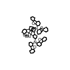 CC(C)(C)C1(C2(C(C)(C)C)c3ccccc3-c3ccc(N(c4cccc5c4oc4ccccc45)c4cccc5c4oc4ccccc45)cc32)c2ccccc2-c2ccc(N(c3cccc4c3oc3ccccc34)c3cccc4c3oc3ccccc34)cc21